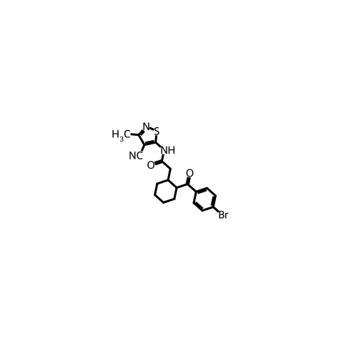 Cc1nsc(NC(=O)CC2CCCCC2C(=O)c2ccc(Br)cc2)c1C#N